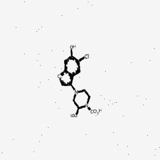 CC(C)(C)C1CN(c2coc3cc(O)c(Cl)cc23)CCN1C(=O)O